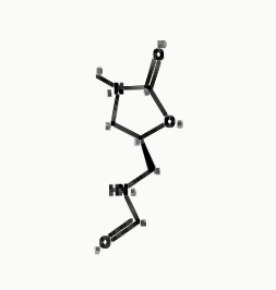 CN1C[C@H](CNC=O)OC1=O